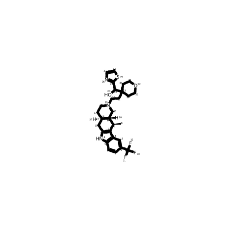 C[C@H]1c2c([nH]c3ccc(C(F)(F)F)cc23)C[C@H]2CCN(CCC3(C(O)c4nccs4)CCOCC3)C[C@@H]21